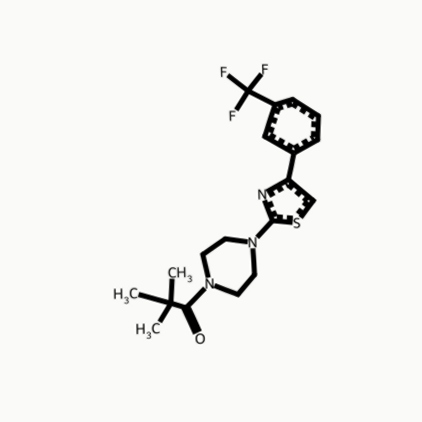 CC(C)(C)C(=O)N1CCN(c2nc(-c3cccc(C(F)(F)F)c3)cs2)CC1